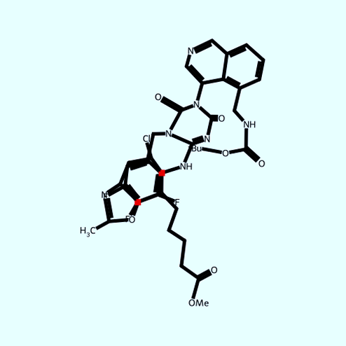 COC(=O)CCCCc1c(Nc2nc(=O)n(-c3cncc4cccc(CNC(=O)OC(C)(C)C)c34)c(=O)n2Cc2cc(F)c(F)c(F)c2)c(Cl)cc2nc(C)oc12